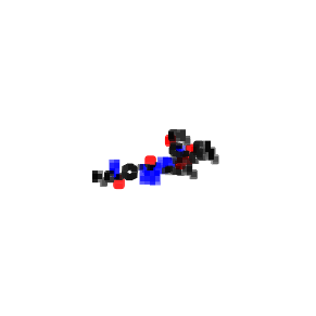 CC[C@@H](/C=N/NC(=O)NC[C@H]1CC[C@H](C(=O)NC)CC1)NC(=O)[C@@H]1C[C@@H](OC)CN1C(=O)OC(C)(C)C